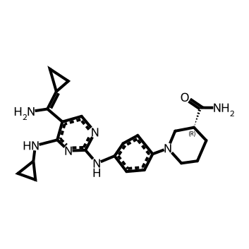 NC(=O)[C@@H]1CCCN(c2ccc(Nc3ncc(C(N)=C4CC4)c(NC4CC4)n3)cc2)C1